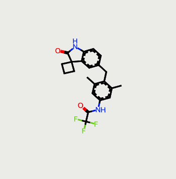 Cc1cc(NC(=O)C(F)(F)F)cc(C)c1Cc1ccc2c(c1)C1(CCC1)C(=O)N2